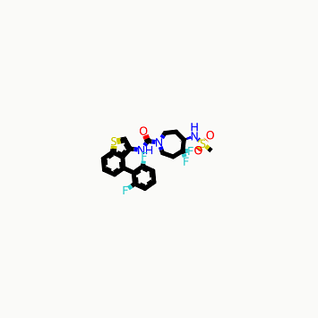 CS(=O)(=O)N[C@@H]1CCN(C(=O)Nc2csc3cccc(-c4c(F)cccc4F)c23)CCC1(F)F